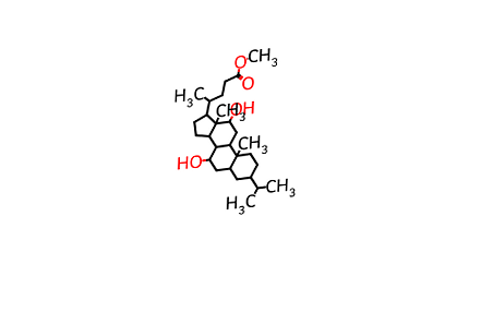 COC(=O)CCC(C)C1CCC2C3C(O)CC4CC(C(C)C)CCC4(C)C3CC(O)C12C